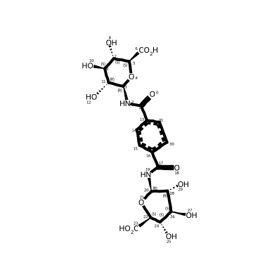 O=C(N[C@@H]1O[C@H](C(=O)O)[C@@H](O)[C@H](O)[C@H]1O)c1ccc(C(=O)N[C@@H]2O[C@H](C(=O)O)[C@@H](O)[C@H](O)[C@H]2O)cc1